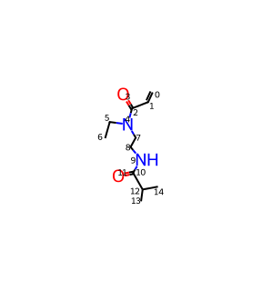 C=CC(=O)N(CC)CCNC(=O)C(C)C